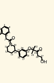 Cc1ccccc1CC(=O)N1CCCC(c2cccc(OC(C)(C)C(=O)CCO)c2)C1